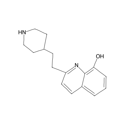 Oc1cccc2ccc(CCC3CCNCC3)nc12